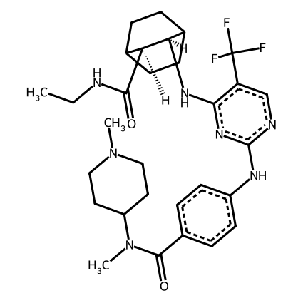 CCNC(=O)[C@H]1C2CCC(CC2)[C@H]1Nc1nc(Nc2ccc(C(=O)N(C)C3CCN(C)CC3)cc2)ncc1C(F)(F)F